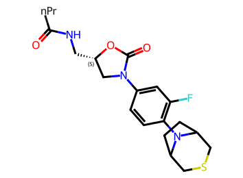 CCCC(=O)NC[C@H]1CN(c2ccc(N3C4CCC3CSC4)c(F)c2)C(=O)O1